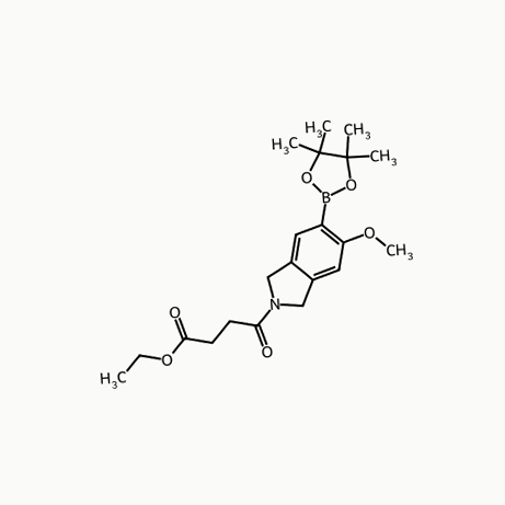 CCOC(=O)CCC(=O)N1Cc2cc(OC)c(B3OC(C)(C)C(C)(C)O3)cc2C1